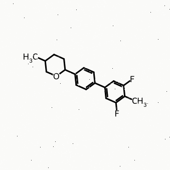 Cc1c(F)cc(-c2ccc(C3CCC(C)CO3)cc2)cc1F